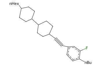 CCCCCCC1CCC(C2CCC(C#Cc3ccc(CCCC)c(F)c3)CC2)CC1